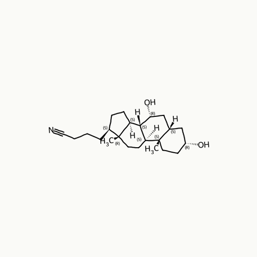 C[C@]12CC[C@@H](O)C[C@H]1C[C@@H](O)[C@@H]1[C@@H]2CC[C@]2(C)[C@@H](CCCC#N)CC[C@@H]12